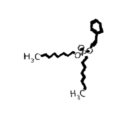 CCCCCCCCOP(=O)(CCCCCCCC)OC=Cc1ccccc1